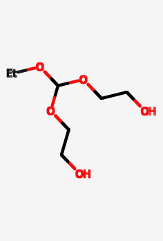 CCOC(OCCO)OCCO